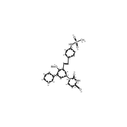 COc1c(C=Cc2ccc(NS(C)(=O)=O)cc2)cc(-n2ccc(=O)[nH]c2=O)cc1-c1cccnc1